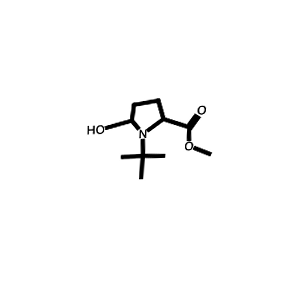 COC(=O)C1CCC(O)N1C(C)(C)C